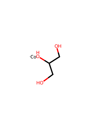 OCC(O)CO.[Co]